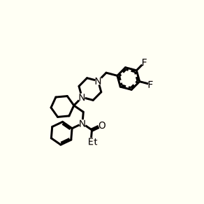 CCC(=O)N(CC1(N2CCN(Cc3ccc(F)c(F)c3)CC2)CCCCC1)C1=CCCC=C1